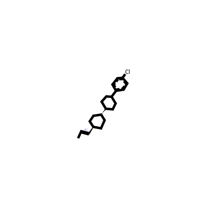 C/C=C/[C@H]1CC[C@H](C2CCC(c3ccc(Cl)cc3)CC2)CC1